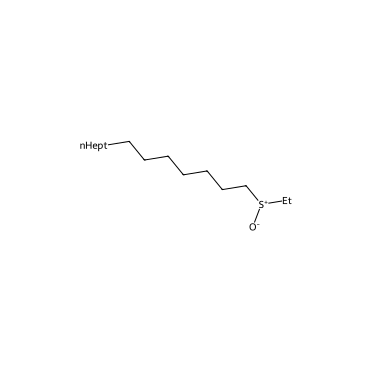 CCCCCCCCCCCCCC[S+]([O-])CC